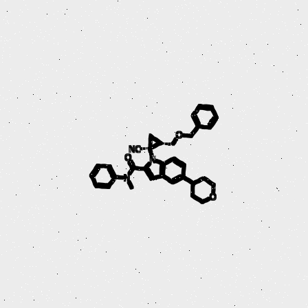 CN(C(=O)c1cc2cc(C3CCOCC3)ccc2n1[C@@]1(C#N)C[C@@H]1COCc1ccccc1)c1ccccc1